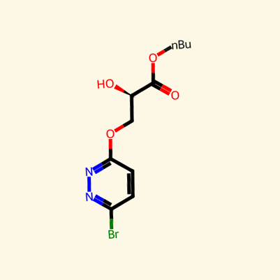 CCCCOC(=O)[C@H](O)COc1ccc(Br)nn1